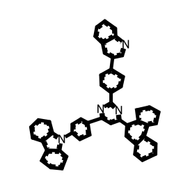 c1ccc2ncc(-c3ccc(-c4nc(-c5ccc(-n6c7ccccc7c7ccccc76)cc5)cc(-c5cc6ccccc6c6ccccc56)n4)cc3)cc2c1